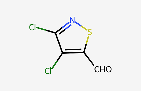 O=Cc1snc(Cl)c1Cl